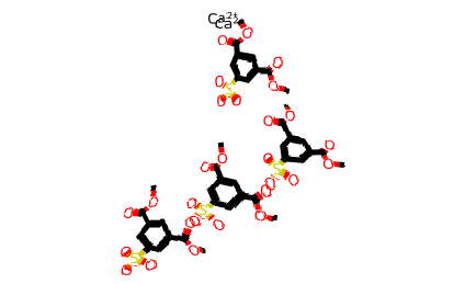 COC(=O)c1cc(C(=O)OC)cc(S(=O)(=O)[O-])c1.COC(=O)c1cc(C(=O)OC)cc(S(=O)(=O)[O-])c1.COC(=O)c1cc(C(=O)OC)cc(S(=O)(=O)[O-])c1.COC(=O)c1cc(C(=O)OC)cc(S(=O)(=O)[O-])c1.[Ca+2].[Ca+2]